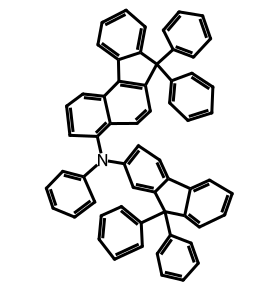 c1ccc(N(c2ccc3c(c2)C(c2ccccc2)(c2ccccc2)c2ccccc2-3)c2cccc3c4c(ccc23)C(c2ccccc2)(c2ccccc2)c2ccccc2-4)cc1